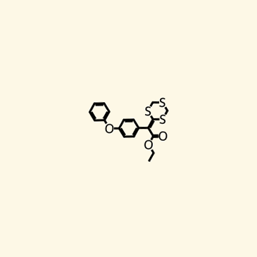 CCOC(=O)C(=C1SCSCS1)c1ccc(Oc2ccccc2)cc1